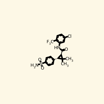 CC1(C)[C@H](C(=O)Nc2cc(Cl)ccc2C(F)(F)F)[C@H]1c1ccc(S(N)(=O)=O)cc1